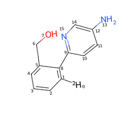 [2H]c1cccc(CO)c1-c1ccc(N)cn1